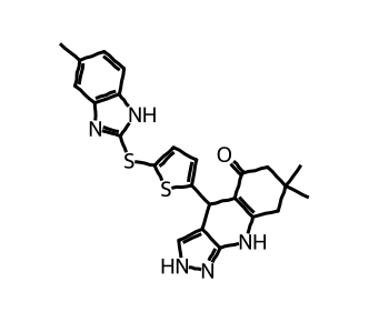 Cc1ccc2[nH]c(Sc3ccc(C4C5=C(CC(C)(C)CC5=O)Nc5n[nH]cc54)s3)nc2c1